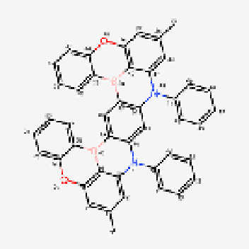 Cc1cc2c3c(c1)N(c1ccccc1)c1cc4c(cc1B3c1ccccc1O2)B1c2ccccc2Oc2cc(C)cc(c21)N4c1ccccc1